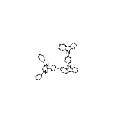 c1ccc(-c2cc(-c3ccccc3)nc(-c3ccc(-c4ccc5c6ccccc6n(-c6ccc(-n7c8ccccc8c8ccccc87)cc6)c5c4)cc3)n2)cc1